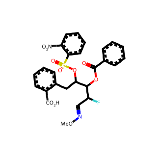 CON=CC(F)C(OC(=O)c1ccccc1)C(Cc1ccccc1C(=O)O)OS(=O)(=O)c1ccccc1[N+](=O)[O-]